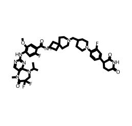 COc1cc(C(=O)NC2CC3(CCN(CC4CCN(c5ccc(C6CCC(=O)NC6=O)cc5F)CC4)CC3)C2)c(F)cc1Nc1ncc2c(n1)N(C(C)C)CC(F)(F)C(=O)N2C